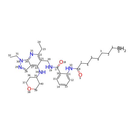 BCCCCCCCC(=O)Nc1ccccc1C(=O)NCc1c(CC)nc2c(cnn2CC)c1NC1CCOCC1